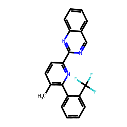 Cc1ccc(-c2ncc3ccccc3n2)nc1-c1ccccc1C(F)(F)F